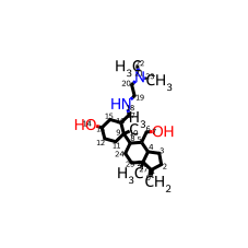 C=C1CCC2C(CO)C(C3(C)CCC(O)CC3CNCCN(C)C)CCC12C